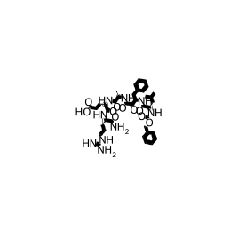 CC(C)C[C@H](NC(=O)OCc1ccccc1)C(=O)NC(Cc1ccccc1)C(=O)C(=O)N[C@@H](C)C(=O)N[C@@H](CCC(=O)O)C(=O)N[C@@H](CCCNC(=N)N)C(N)=O